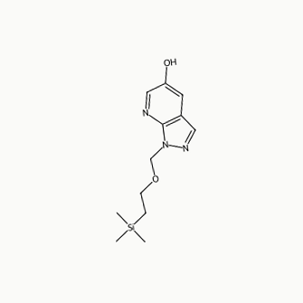 C[Si](C)(C)CCOCn1ncc2cc(O)cnc21